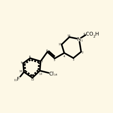 O=C(O)N1CCC(C=Cc2ccc(F)cc2Cl)CC1